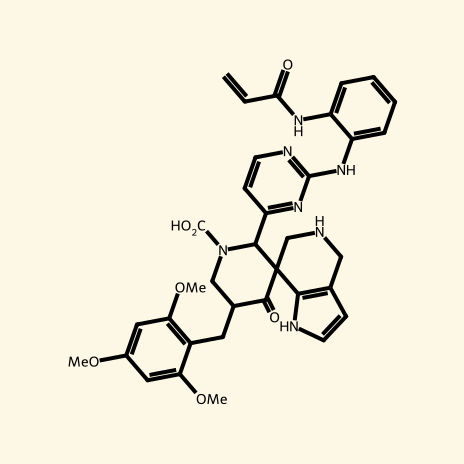 C=CC(=O)Nc1ccccc1Nc1nccc(C2N(C(=O)O)CC(Cc3c(OC)cc(OC)cc3OC)C(=O)C23CNCc2cc[nH]c23)n1